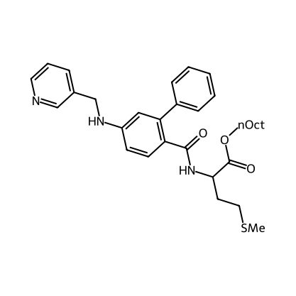 CCCCCCCCOC(=O)C(CCSC)NC(=O)c1ccc(NCc2cccnc2)cc1-c1ccccc1